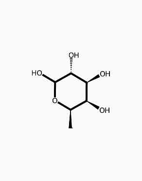 [CH2][C@H]1OC(O)[C@H](O)[C@@H](O)[C@H]1O